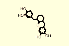 O=C1C(Cc2ccc(O)c(O)c2)CCCC1Cc1ccc(O)c(O)c1